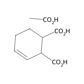 CC(=O)O.O=C(O)C1C=CCCC1C(=O)O